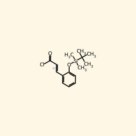 CC(C)(C)[Si](C)(C)Oc1ccccc1/C=C/C(=O)Cl